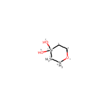 O[Si]1(O)CCO[SiH2][SiH2]1